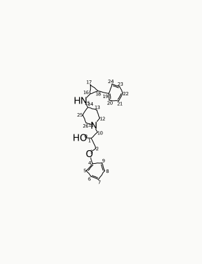 OC(COc1ccccc1)CN1CCC(NC2CC2c2ccccc2)CC1